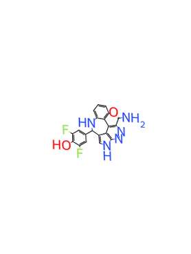 NC(=O)c1nnc2[nH]cc3c2c1-c1ccccc1NC3c1cc(F)c(O)c(F)c1